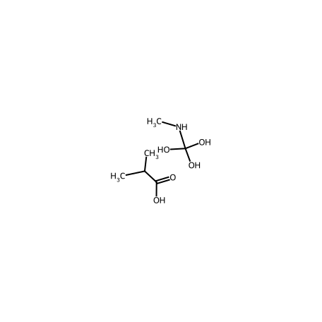 CC(C)C(=O)O.CNC(O)(O)O